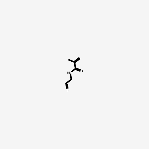 C=C(C)C(=O)NCC=S